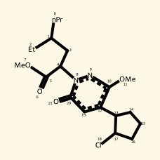 CCCC(CC)CC(C(=O)OC)n1nc(OC)c(C2CCCC2Cl)cc1=O